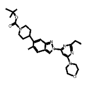 CCc1nc(N2CCOCC2)cc(-n2cc3cc(C)c(C4CCN(C(=O)OC(C)(C)C)CC4)cc3n2)n1